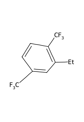 CCc1cc(C(F)(F)F)ccc1C(F)(F)F